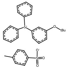 CC(C)(C)Oc1cccc([S+](c2ccccc2)c2ccccc2)c1.Cc1ccc(S(=O)(=O)[O-])cc1